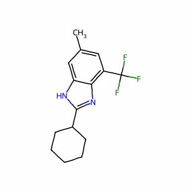 Cc1cc(C(F)(F)F)c2nc(C3CCCCC3)[nH]c2c1